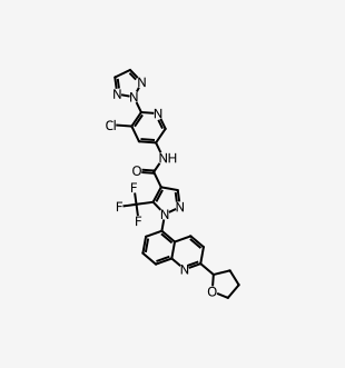 O=C(Nc1cnc(-n2nccn2)c(Cl)c1)c1cnn(-c2cccc3nc(C4CCCO4)ccc23)c1C(F)(F)F